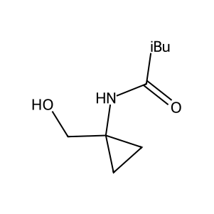 CCC(C)C(=O)NC1(CO)CC1